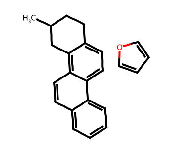 CC1CCc2ccc3c(ccc4ccccc43)c2C1.c1ccoc1